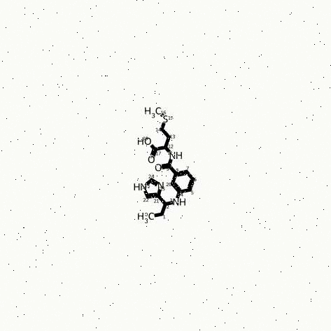 CCC(Nc1cccc(C(=O)NC(CCSC)C(=O)O)c1)c1c[nH]cn1